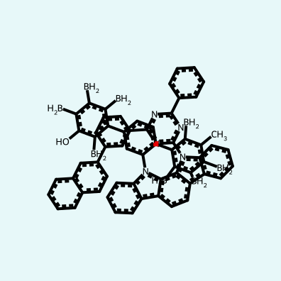 Bc1c(B)c(O)c(B)c(-c2ccc(-c3c(B)c(B)c(B)c(C)c3B)c(-n3c4ccccc4c4ccc5c6ccccc6n(-c6nc(-c7ccccc7)nc(-c7cccc(-c8ccc9ccccc9c8)c7)n6)c5c43)c2)c1B